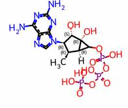 C[C@H]1[C@@H](n2cnc3c(N)nc(N)nc32)[C@H](O)[C@@]2(O)C(OP(=O)(O)OP(=O)(O)OP(=O)(O)O)[C@@H]12